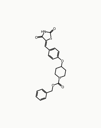 O=C1NC(=O)C(=Cc2ccc(OC3CCN(C(=O)OCc4ccccc4)CC3)cc2)S1